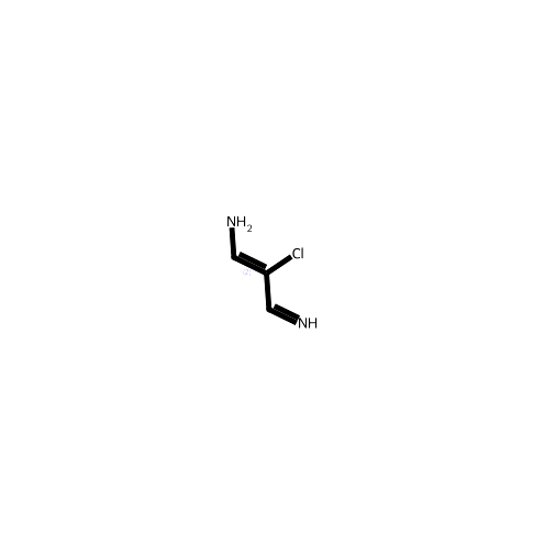 N=C/C(Cl)=C/N